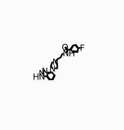 O=C(NCCCN1CCN(c2cccc3[nH]nnc23)CC1)c1ccc(F)cc1